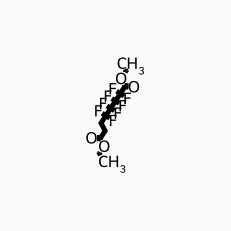 CCOC(=O)CCC(F)(F)C(F)(F)C(F)(F)C(F)(F)C(=O)OCC